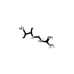 CC(O)C(C)SCNC(=N)N